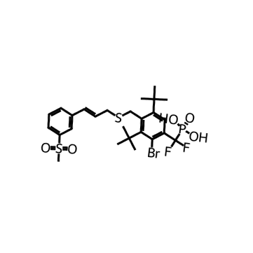 CC(C)(C)c1cc(C(F)(F)P(=O)(O)O)c(Br)c(C(C)(C)C)c1CSCC=Cc1cccc(S(C)(=O)=O)c1